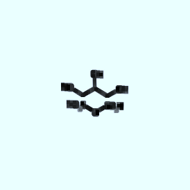 O=S(=O)(O)OS(=O)(=O)O.OCC(O)CO